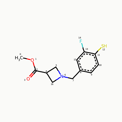 COC(=O)C1CN(Cc2ccc(S)c(F)c2)C1